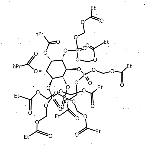 CCCC(=O)O[C@@H]1[C@H](OC(=O)CCC)[C@H](OP(=O)(OCOC(=O)CC)OCOC(=O)CC)[C@@H](OP(=O)(OCOC(=O)CC)OCOC(=O)CC)[C@H](OP(=O)(OCOC(=O)CC)OCOC(=O)CC)[C@H]1OP(=O)(OCOC(=O)CC)OCOC(=O)CC